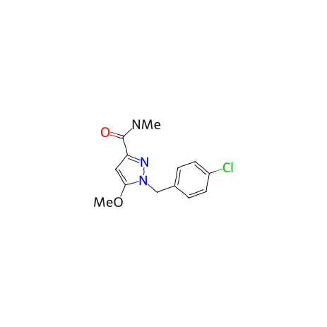 CNC(=O)c1cc(OC)n(Cc2ccc(Cl)cc2)n1